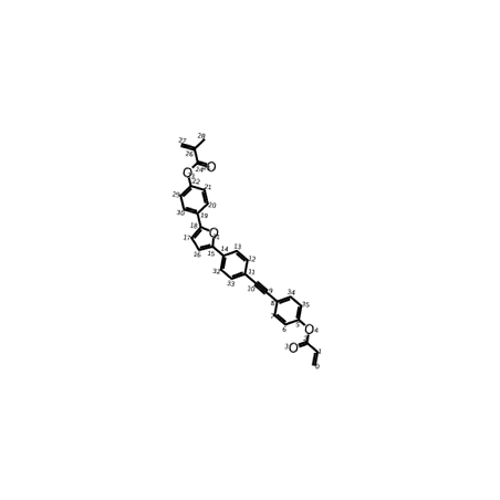 C=CC(=O)Oc1ccc(C#Cc2ccc(-c3ccc(-c4ccc(OC(=O)C(=C)C)cc4)o3)cc2)cc1